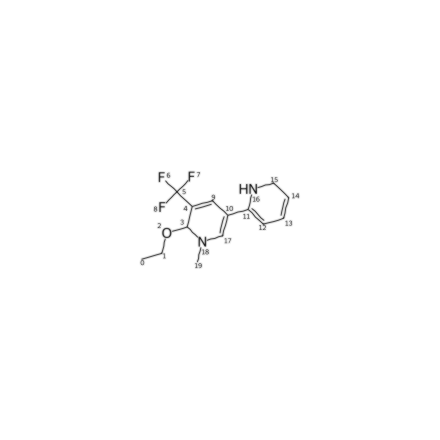 CCOC1C(C(F)(F)F)=CC(C2=CC=CCN2)=CN1C